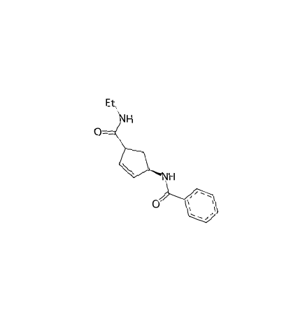 CCNC(=O)C1C=C[C@H](NC(=O)c2ccccc2)C1